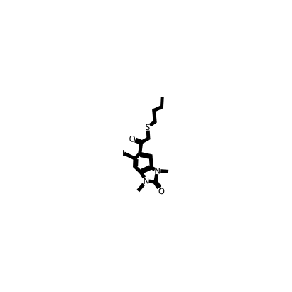 CCCCSCC(=O)c1cc2c(cc1I)n(C)c(=O)n2C